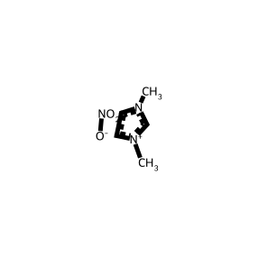 Cn1cc[n+](C)c1.O=[N+]([O-])[O-]